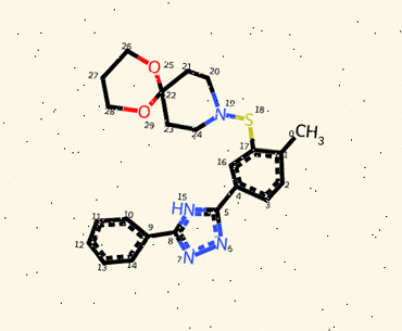 Cc1ccc(-c2nnc(-c3ccccc3)[nH]2)cc1SN1CCC2(CC1)OCCCO2